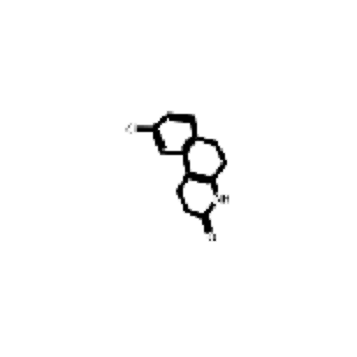 O=C1CCC2=C(CCc3ccc(Cl)cc32)N1